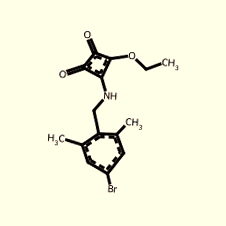 CCOc1c(NCc2c(C)cc(Br)cc2C)c(=O)c1=O